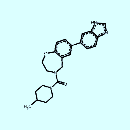 CC1CCN(C(=O)N2CCOc3ccc(-c4ccc5nc[nH]c5c4)cc3C2)CC1